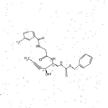 CC#C[C@H](O)[C@H](CNC(=O)OCc1ccccc1)NC(=O)CNC(=O)c1cccc(C(F)(F)F)c1